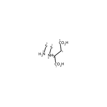 N[S].N[S].O=C(O)CCC(=O)O